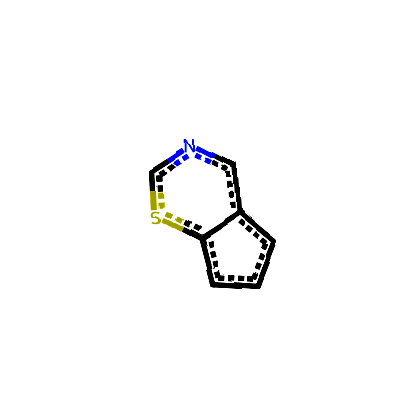 c1cc2cncsc-2c1